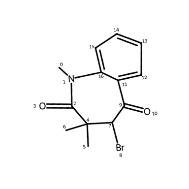 CN1C(=O)C(C)(C)C(Br)C(=O)c2ccccc21